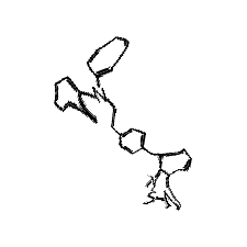 C(=CN(c1ccccc1)c1ccccc1)c1ccc(-c2cccc3nsnc23)cc1